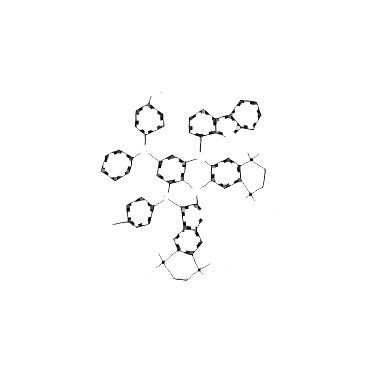 CC(C)(C)c1ccc(N(c2ccccc2)c2cc3c4c(c2)N(c2cccc5c2oc2ccccc25)c2cc5c(cc2B4c2oc4cc6c(cc4c2N3c2ccc(C(C)(C)C)cc2)C(C)(C)CCC6(C)C)C(C)(C)CCC5(C)C)cc1